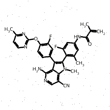 C=C(C)C(=O)Nc1cc(C)c(-c2c(-c3ccc(Oc4nccc(C)n4)c(F)c3)c3c(N)ncc(C#N)c3n2C)c(F)c1